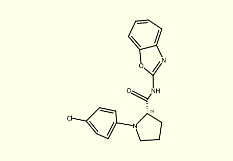 O=C(Nc1nc2ccccc2o1)[C@@H]1CCCN1c1ccc(Cl)cc1